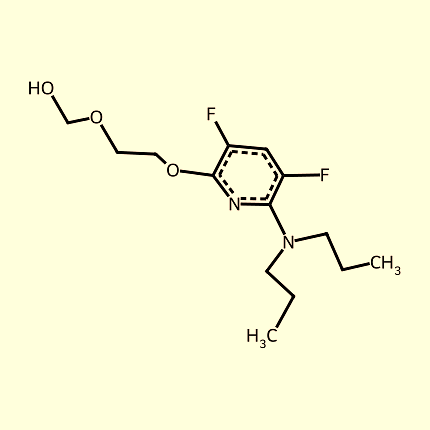 CCCN(CCC)c1nc(OCCOCO)c(F)cc1F